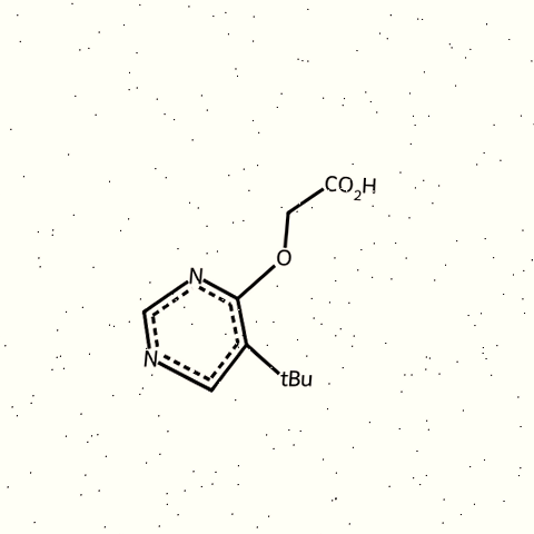 CC(C)(C)c1cncnc1OCC(=O)O